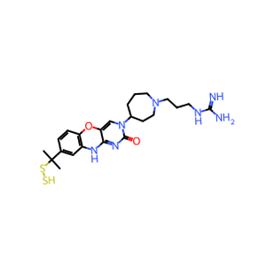 CC(C)(SS)c1ccc2c(c1)Nc1nc(=O)n(C3CCCN(CCCNC(=N)N)CC3)cc1O2